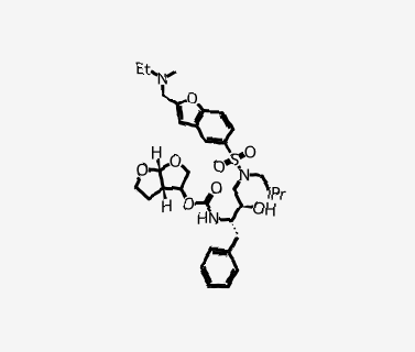 CCN(C)Cc1cc2cc(S(=O)(=O)N(CC(C)C)C[C@@H](O)[C@H](Cc3ccccc3)NC(=O)OC3CO[C@H]4OCC[C@@H]34)ccc2o1